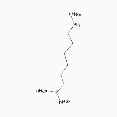 CCCCCCPCCCCCCP(CCCCCC)CCCCCC